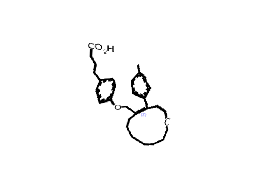 Cc1ccc(/C2=C(\COc3ccc(CCCC(=O)O)cc3)CCCCCCCCCC2)cc1